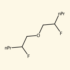 CCCC(F)COCC(F)CCC